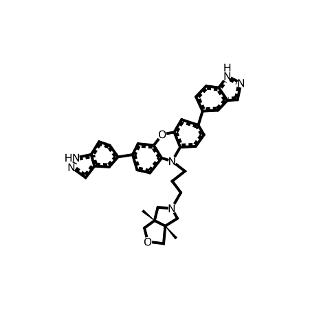 C[C@@]12COC[C@]1(C)CN(CCCN1c3ccc(-c4ccc5[nH]ncc5c4)cc3Oc3cc(-c4ccc5[nH]ncc5c4)ccc31)C2